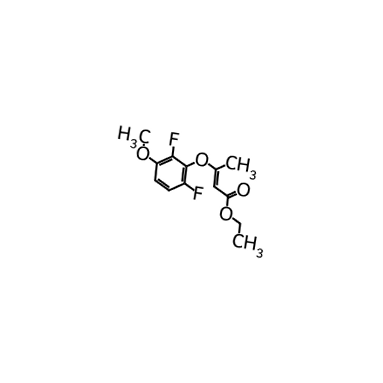 CCOC(=O)C=C(C)Oc1c(F)ccc(OC)c1F